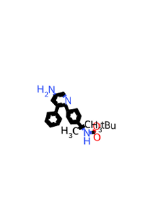 CC(C)(C)OC(=O)NC(C)(C)c1ccc(-c2ncc(N)cc2-c2ccccc2)cc1